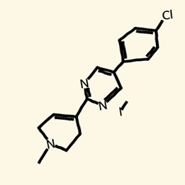 CI.CN1CC=C(c2ncc(-c3ccc(Cl)cc3)cn2)CC1